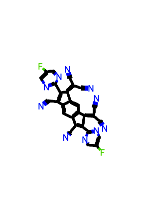 N#CC(C#N)=C1C(c2ncc(F)cn2)=C(C#N)c2cc3c(cc21)C(=C(C#N)C#N)C(c1ncc(F)cn1)=C3C#N